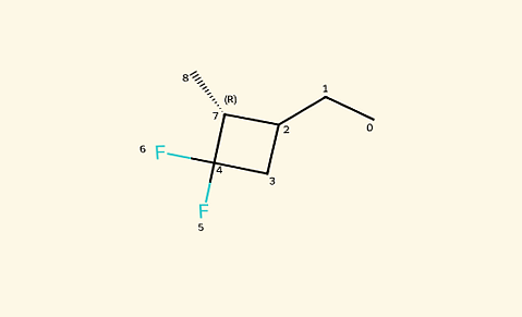 CCC1CC(F)(F)[C@@H]1C